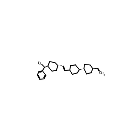 C=C[C@H]1CC[C@H](C2CCC(/C=C/[C@H]3CC[C@H](C(CC)c4ccccc4)CC3)CC2)CC1